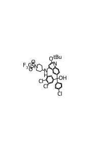 CC(C)(C)Oc1cc(NC2CCN(S(=O)(=O)C(F)(F)F)CC2)c2cc(C(O)(c3ccc(Cl)cc3)c3ccc(Cl)c(Cl)c3)ccc2n1